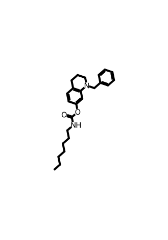 CCCCCCCNC(=O)Oc1ccc2c(c1)N(Cc1ccccc1)CCC2